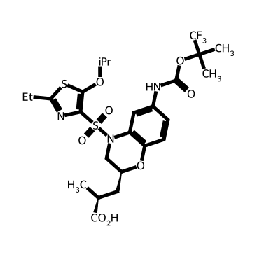 CCc1nc(S(=O)(=O)N2C[C@H](C[C@H](C)C(=O)O)Oc3ccc(NC(=O)OC(C)(C)C(F)(F)F)cc32)c(OC(C)C)s1